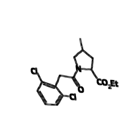 CCOC(=O)C1CC(C)CN1C(=O)Cc1c(Cl)cccc1Cl